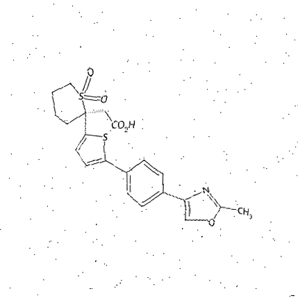 Cc1nc(-c2ccc(-c3ccc([C@@]4(CC(=O)O)CCCCS4(=O)=O)s3)cc2)co1